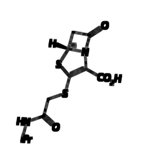 CC(C)NC(=O)CSC1=C(C(=O)O)N2C(=O)C[C@H]2S1